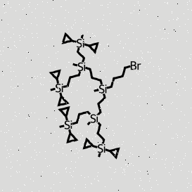 C[Si](CCCCBr)(CCC[Si](C)(CCC[Si](C)(C1CC1)C1CC1)CCC[Si](C)(C1CC1)C1CC1)CCC[Si](C)(CCC[Si](C)(C1CC1)C1CC1)CC[Si](C)(C1CC1)C1CC1